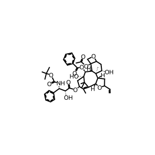 C=CC1C[C@@H]2[C@H](O1)C1=C(C)[C@@H](OC(=O)[C@H](O)[C@@H](NC(=O)OC(C)(C)C)c3ccccc3)C[C@@](O)([C@@H](OC(=O)c3ccccc3)[C@H]3[C@@]2(C)[C@@H](O)CC2OC[C@]23OC(C)=O)C1(C)C